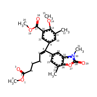 COC(=O)CCC/C=C(/c1cc(C)c(OC)c(C(=O)OC)c1)c1cc(C)c2oc(=O)n(C)c2c1